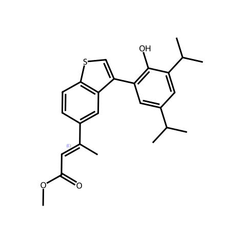 COC(=O)/C=C(\C)c1ccc2scc(-c3cc(C(C)C)cc(C(C)C)c3O)c2c1